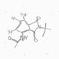 [2H]c1c([2H])c(NC(C)=O)c2c(c1[2H])C(=O)N(C(C)(C)C)C2=O